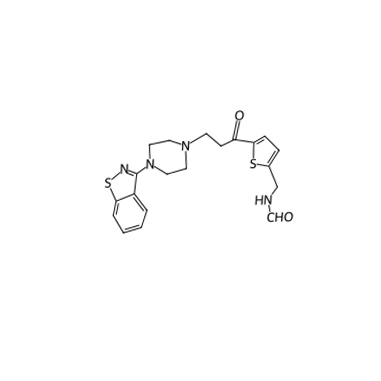 O=CNCc1ccc(C(=O)CCN2CCN(c3nsc4ccccc34)CC2)s1